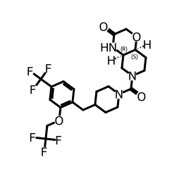 O=C1CO[C@H]2CCN(C(=O)N3CCC(Cc4ccc(C(F)(F)F)cc4OCC(F)(F)F)CC3)C[C@H]2N1